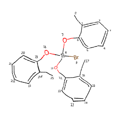 Cc1ccccc1[O][Ti]([Br])([O]c1ccccc1C)[O]c1ccccc1C